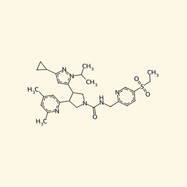 CCS(=O)(=O)c1ccc(CNC(=O)N2CC(c3cc(C)cc(C)n3)C(c3cc(C4CC4)nn3C(C)C)C2)nc1